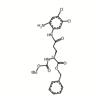 CC(C)(C)OC(=O)N[C@@H](CCC(=O)Nc1cc(Cl)c(Cl)cc1N)C(=O)OCc1ccccc1